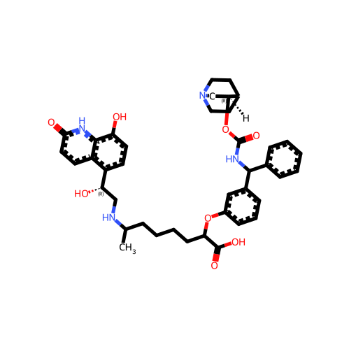 CC(CCCCC(Oc1cccc(C(NC(=O)O[C@H]2CN3CCC2CC3)c2ccccc2)c1)C(=O)O)NC[C@H](O)c1ccc(O)c2[nH]c(=O)ccc12